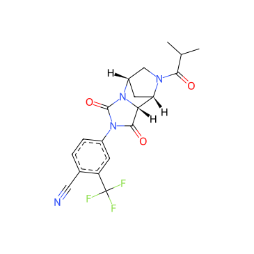 CC(C)C(=O)N1C[C@@H]2C[C@H]1[C@@H]1C(=O)N(c3ccc(C#N)c(C(F)(F)F)c3)C(=O)N21